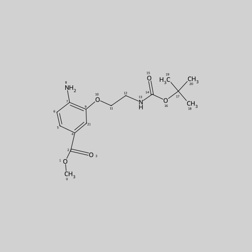 COC(=O)c1ccc(N)c(OCCNC(=O)OC(C)(C)C)c1